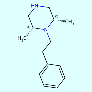 C[C@@H]1CNC[C@H](C)N1CCc1ccccc1